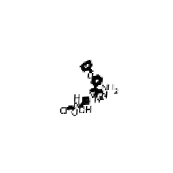 Nc1ncnc2c1c(-c1cccc(OCC34CCC(CC3)O4)c1)cn2C1CC(C(O)NC(=O)CCl)C1